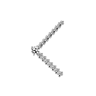 COC(N(F)F)C(N)(N(F)F)N(F)F.[O-][Cl+3]([O-])([O-])O.[O-][Cl+3]([O-])([O-])O.[O-][Cl+3]([O-])([O-])O.[O-][Cl+3]([O-])([O-])O.[O-][Cl+3]([O-])([O-])O.[O-][Cl+3]([O-])([O-])O.[O-][Cl+3]([O-])([O-])O.[O-][Cl+3]([O-])([O-])O.[O-][Cl+3]([O-])([O-])O.[O-][Cl+3]([O-])([O-])O.[O-][Cl+3]([O-])([O-])O.[O-][Cl+3]([O-])([O-])O.[O-][Cl+3]([O-])([O-])O.[O-][Cl+3]([O-])([O-])O.[O-][Cl+3]([O-])([O-])O